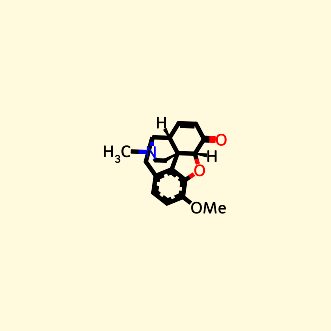 COc1ccc2c3c1O[C@H]1C(=O)C=C[C@H]4C(C2)N(C)CC[C@]314